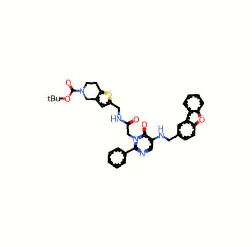 CC(C)(C)OC(=O)N1CCc2sc(CNC(=O)Cn3c(-c4ccccc4)ncc(NCc4ccc5oc6ccccc6c5c4)c3=O)cc2C1